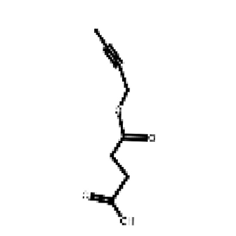 CC#CCOC(=O)CCC(=O)O